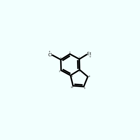 CCc1cc(Cl)cc2c1CC=C2